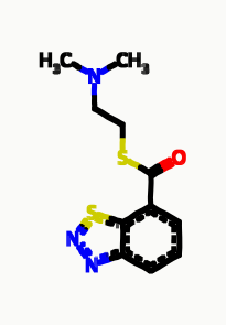 CN(C)CCSC(=O)c1cccc2nnsc12